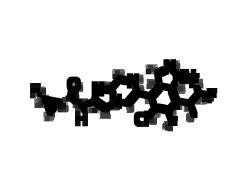 CC(c1c(F)c(Cl)c(-c2cn3cc(NC(=O)[C@@H]4C[C@@H]4F)nc3cn2)c2cn[nH]c12)C(F)F